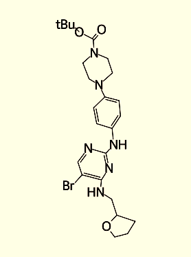 CC(C)(C)OC(=O)N1CCN(c2ccc(Nc3ncc(Br)c(NCC4CCCO4)n3)cc2)CC1